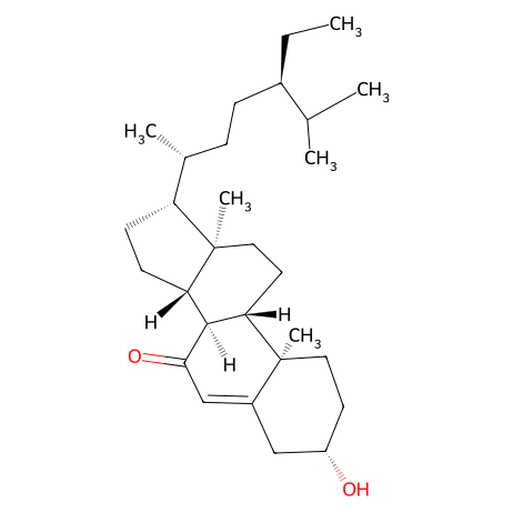 CC[C@H](CC[C@@H](C)[C@H]1CC[C@H]2[C@@H]3C(=O)C=C4C[C@@H](O)CC[C@]4(C)[C@H]3CC[C@]12C)C(C)C